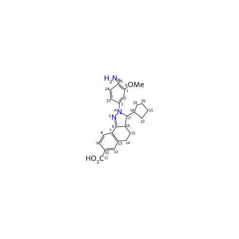 COc1cc(N2N=C3c4ccc(C(=O)O)cc4CCC3C2C2CCCC2)ccc1N